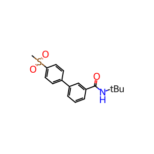 CC(C)(C)NC(=O)c1cccc(-c2ccc(S(C)(=O)=O)cc2)c1